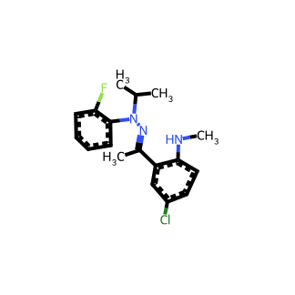 CNc1ccc(Cl)cc1/C(C)=N/N(c1ccccc1F)C(C)C